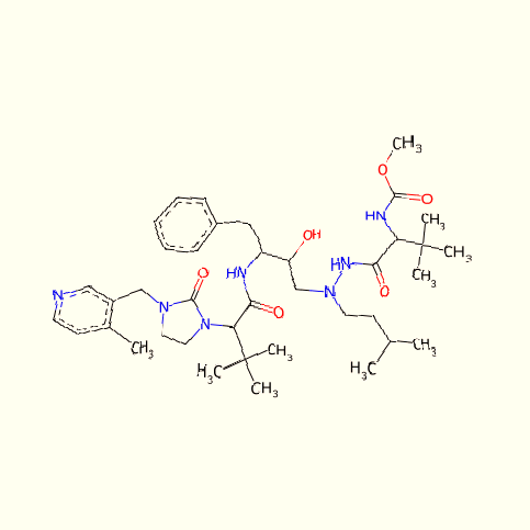 COC(=O)NC(C(=O)NN(CCC(C)C)CC(O)C(Cc1ccccc1)NC(=O)C(N1CCN(Cc2cnccc2C)C1=O)C(C)(C)C)C(C)(C)C